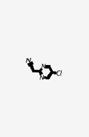 N#CCc1ncc(Cl)cn1